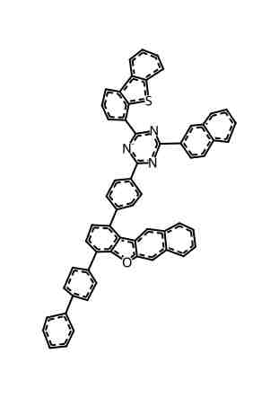 c1ccc(-c2ccc(-c3ccc(-c4ccc(-c5nc(-c6ccc7ccccc7c6)nc(-c6cccc7c6sc6ccccc67)n5)cc4)c4c3oc3cc5ccccc5cc34)cc2)cc1